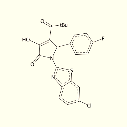 CC(C)(C)C(=O)C1=C(O)C(=O)N(c2nc3ccc(Cl)cc3s2)C1c1ccc(F)cc1